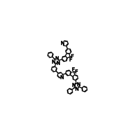 FC1(F)c2ccc(-c3cccnc3)cc2-c2cc(-c3nc(-c4ccccc4)nc(-c4cccc(-c5ccnc(-c6ccc7c(c6)-c6cc(-c8nc(-c9ccccc9)nc(-c9ccccc9)n8)ccc6C7(F)F)c5)c4)n3)ccc21